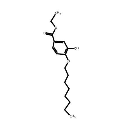 CCCCCCCCOc1ccc(C(=O)OCC)cc1O